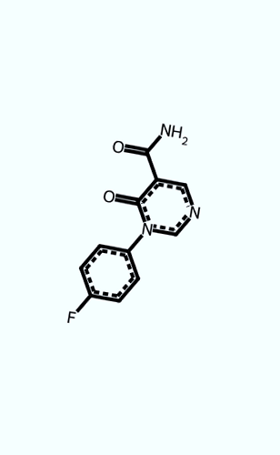 NC(=O)c1cncn(-c2ccc(F)cc2)c1=O